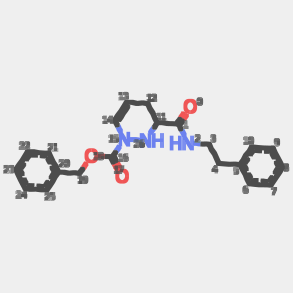 O=C(NCCc1ccccc1)C1CC=CN(C(=O)OCc2ccccc2)N1